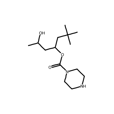 CC(O)CC(CC(C)(C)C)OC(=O)N1CCNCC1